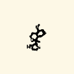 COc1cccc2c1CCOC2(C)C1=NCCN1